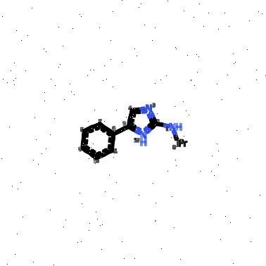 CC(C)Nc1ncc(-c2ccccc2)[nH]1